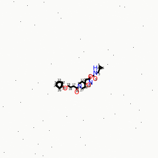 O=C(NCC1CC1)OC1=NOC2(CCN(C(=O)CCCOc3ccccc3)CC2)C1